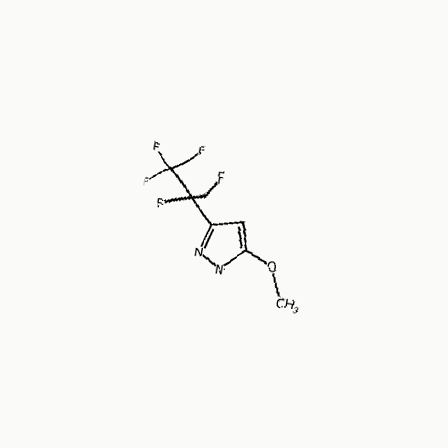 COC1=CC(C(F)(F)C(F)(F)F)=N[N]1